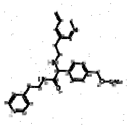 C=C/C=C(\C=N/C)CCNC(C(=O)NCCc1ccncc1)c1ccc(COOC)cc1